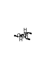 C#CCONCC(NOCC#C)NOCC#C